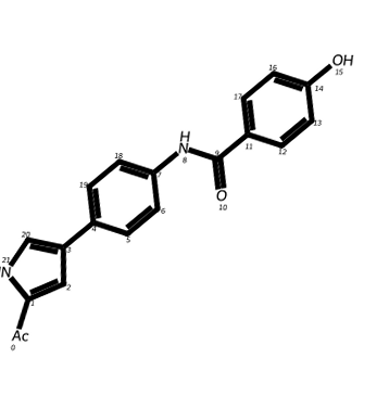 CC(=O)c1cc(-c2ccc(NC(=O)c3ccc(O)cc3)cc2)c[nH]1